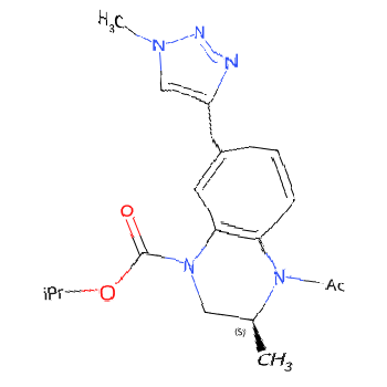 CC(=O)N1c2ccc(-c3cn(C)nn3)cc2N(C(=O)OC(C)C)C[C@@H]1C